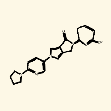 N#CC1=NC(N2Cc3cn(-c4ccc(N5CCCC5)nc4)cc3C2=O)CC=C1